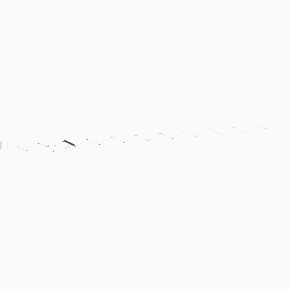 CCCCCCCCCCCCCCCC/C=C/NCCO